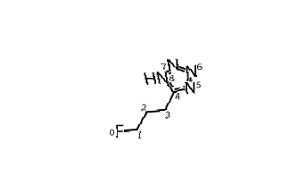 FCCCc1nnn[nH]1